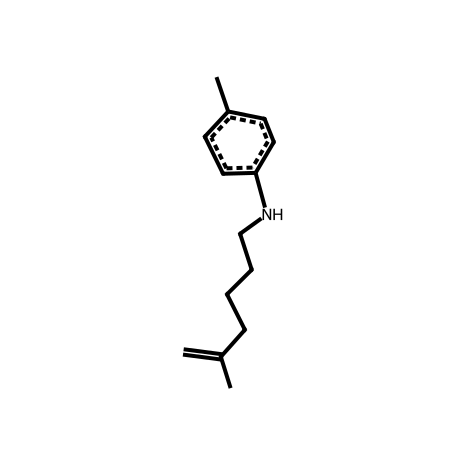 C=C(C)CCCCNc1ccc(C)cc1